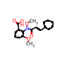 COc1cccc(C(=O)O)c1N(OC)C(=O)C=Cc1ccccc1